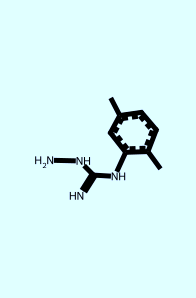 Cc1ccc(C)c(NC(=N)NN)c1